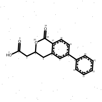 O=C(O)CC1Cc2cc(-c3ccccc3)ccc2C(=O)O1